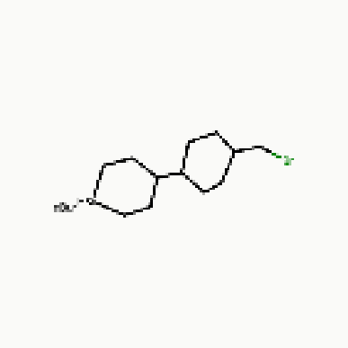 CCCC[SiH]1CCC(C2CCC(CBr)CC2)CC1